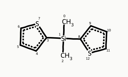 C[Si](C)(c1cccs1)c1cccs1